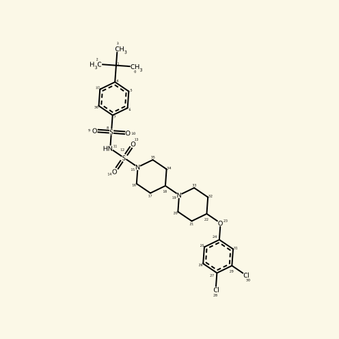 CC(C)(C)c1ccc(S(=O)(=O)NS(=O)(=O)N2CCC(N3CCC(Oc4ccc(Cl)c(Cl)c4)CC3)CC2)cc1